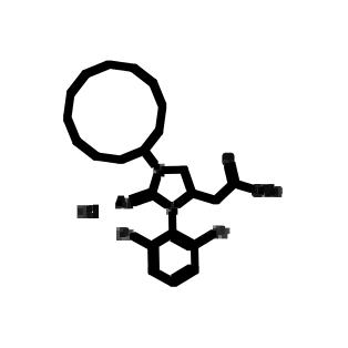 COC(=O)CC1CN(C2CCCCCCCCCCC2)[C](=[Au])N1c1c(C(C)C)cccc1C(C)C.Cl